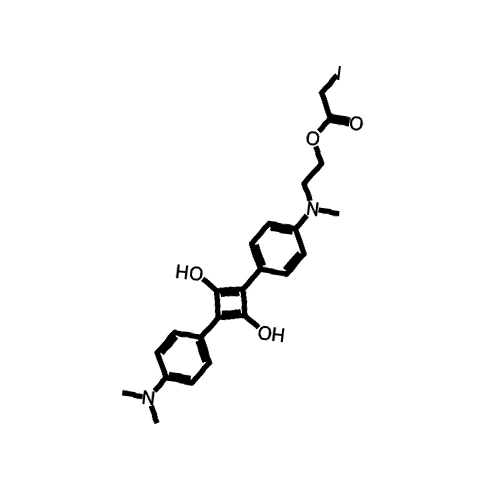 CN(C)c1ccc(C2=C(O)C(c3ccc(N(C)CCOC(=O)CI)cc3)=C2O)cc1